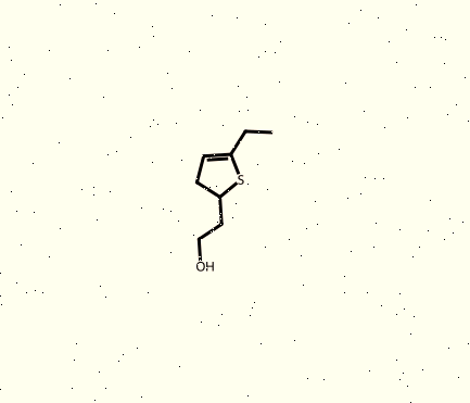 CCC1=CCC(CCO)S1